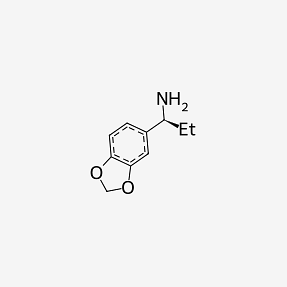 CC[C@H](N)c1ccc2c(c1)OCO2